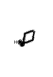 CCCCCCCC/C=C\CCCCCCCCN(CCCCCCCC/C=C\CCCCCCCC)c1ccccc1OP(=O)(O)O